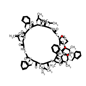 CC(C)C[C@H]1C(=O)NCC(=O)N(C)[C@@H](Cc2ccccc2)C(=O)N(C)[C@@H](C(C)C)C(=O)N[C@@H]([C@@H](C)O)C(=O)N[C@H](C(=O)N(C)[C@@H](Cc2ccccc2)C(=O)N(C)[C@@H](Cc2ccccc2)C(=O)N[C@@H](C)C(=O)N2CCCCC2)CC(=O)N(C)CC(=O)N[C@@H](C(C)C)C(=O)N(C)[C@@H](CC(C)C)C(=O)N[C@@H](Cc2ccccc2)C(=O)N1C